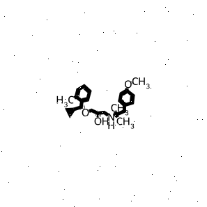 COc1ccc(CC(C)(C)NC[C@@H](O)CO[C@@H](c2ccccc2C)C2CC2)cc1